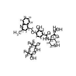 Cc1cc(COc2ccc(C(=O)NC3(CC(=O)NO)CCNCC3)cc2C)c2ccccc2n1.O=C(O)C(F)(F)F.O=C(O)C(F)(F)F